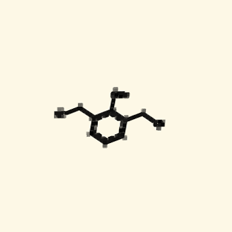 COc1c(CC#N)cccc1CC#N